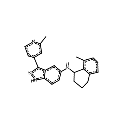 Cc1cc(-c2n[nH]c3ccc(NC4CCCc5cccc(C)c54)cc23)ccn1